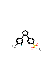 CS(=O)(=O)c1ccc(C2=C(c3ccc(C(F)(F)F)c(F)c3)CCC2)cc1